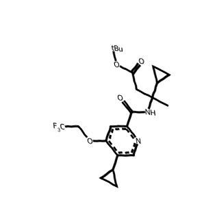 CC(C)(C)OC(=O)CC(C)(NC(=O)c1cc(OCC(F)(F)F)c(C2CC2)cn1)C1CC1